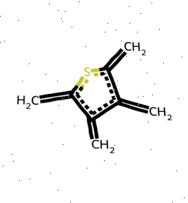 C=c1sc(=C)c(=C)c1=C